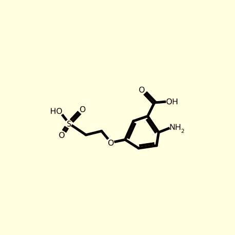 Nc1ccc(OCCS(=O)(=O)O)cc1C(=O)O